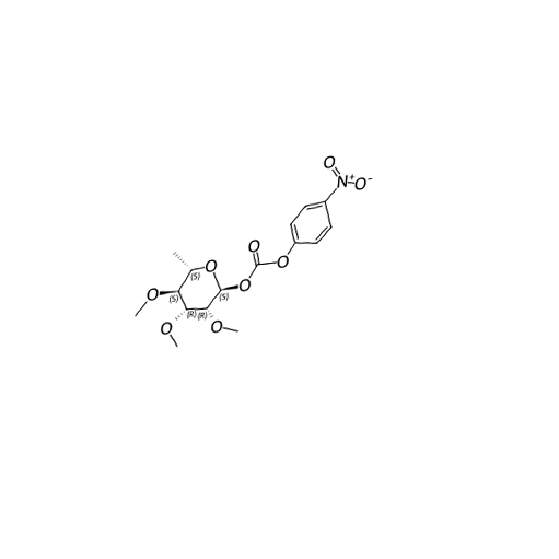 CO[C@@H]1[C@@H](OC)[C@H](C)O[C@@H](OC(=O)Oc2ccc([N+](=O)[O-])cc2)[C@@H]1OC